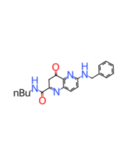 CCCCNC(=O)C1=Nc2ccc(NCc3ccccc3)nc2C(=O)C1